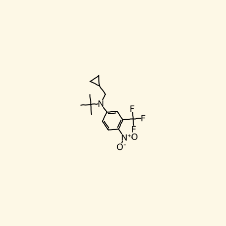 CC(C)(C)N(CC1CC1)c1ccc([N+](=O)[O-])c(C(F)(F)F)c1